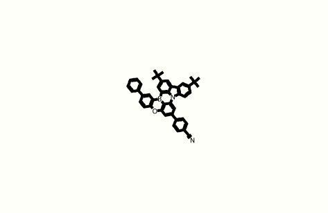 CC(C)(C)c1ccc2c(c1)c1cc(C(C)(C)C)cc3c1n2-c1cc(-c2ccc(C#N)cc2)cc2c1B3c1cc(-c3ccccc3)ccc1O2